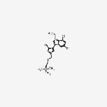 CCn1cc(-c2cn(COCC[Si](C)(C)C)nc2Cl)c2cc(Br)cc(Cl)c21